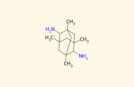 CC12CC3(C)CC(C)(CC(C)(C1)C3N)C2N